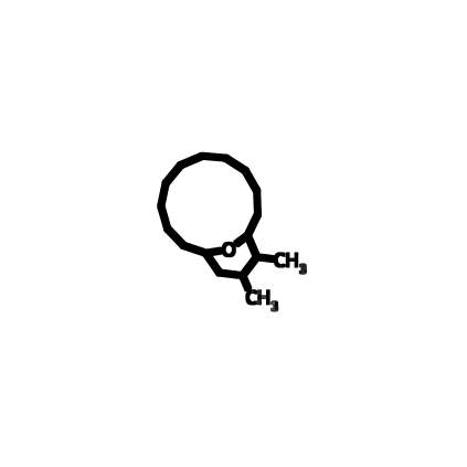 CC1CC2CCCCCCCCCCC(O2)C1C